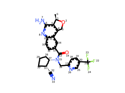 C[C@H]1OCc2c1c(N)nc1ccc(C(=O)N(Cc3ccc(C(F)(F)F)cn3)[C@H]3CCC[C@H]3C#N)cc21